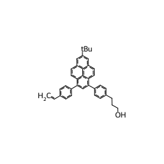 C=Cc1ccc(-c2cc(-c3ccc(CCCO)cc3)c3ccc4cc(C(C)(C)C)cc5ccc2c3c54)cc1